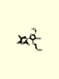 CSCCO[C@@H]1[C@H](O)[C@@H](CO)O[C@H]1n1cc(C)c(=O)[nH]c1=O